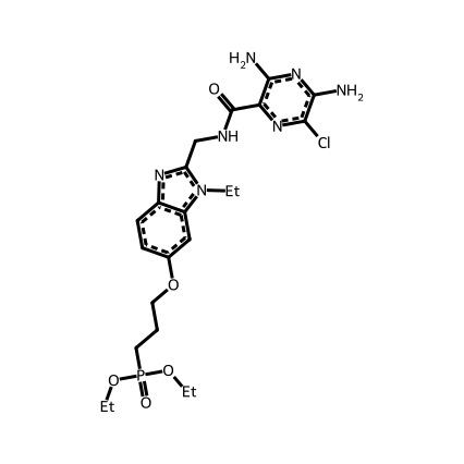 CCOP(=O)(CCCOc1ccc2nc(CNC(=O)c3nc(Cl)c(N)nc3N)n(CC)c2c1)OCC